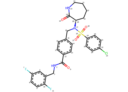 O=C(NCc1cc(F)ccc1F)c1ccc(CN([C@@H]2CCCCNC2=O)S(=O)(=O)c2ccc(Cl)cc2)cc1